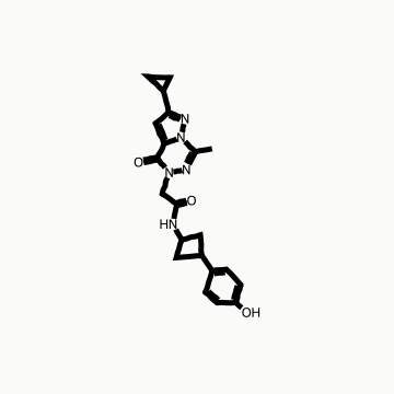 Cc1nn(CC(=O)NC2CC(c3ccc(O)cc3)C2)c(=O)c2cc(C3CC3)nn12